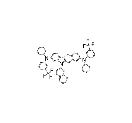 FC(F)(F)c1cccc(N(c2ccccc2)c2ccc3cc4c5ccc(N(c6ccccc6)c6cccc(C(F)(F)F)c6)cc5n(-c5ccc6ccccc6c5)c4cc3c2)c1